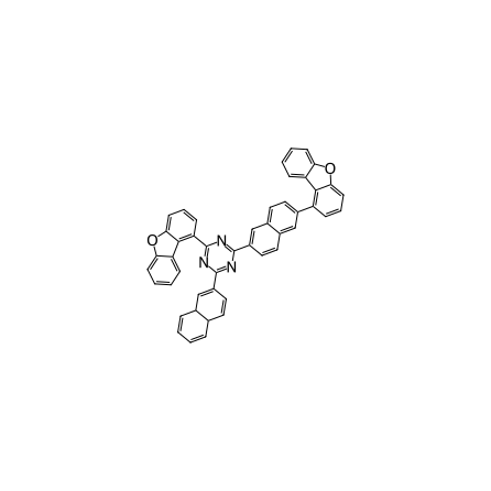 C1=CC2C=CC(c3nc(-c4ccc5cc(-c6cccc7oc8ccccc8c67)ccc5c4)nc(-c4cccc5oc6ccccc6c45)n3)=CC2C=C1